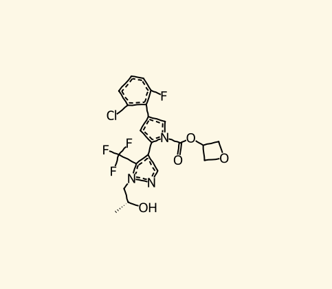 C[C@@H](O)Cn1ncc(-c2cc(-c3c(F)cccc3Cl)cn2C(=O)OC2COC2)c1C(F)(F)F